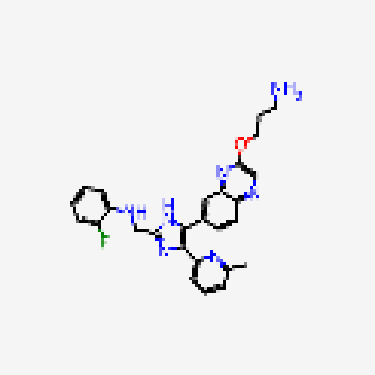 Cc1cccc(-c2nc(CNc3ccccc3F)[nH]c2-c2ccc3ncc(OCCCN)nc3c2)n1